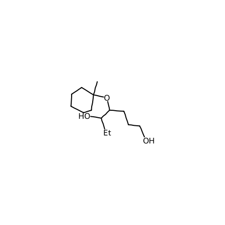 CCC(O)C(CCCO)OC1(C)CCCCC1